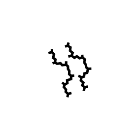 CC(C)CCCC(C)CCCC(C)CCCCC(C)CCCC(C)CCCC(C)C.CC(C)CCCC(C)CCCC(C)CCCCC(C)CCCC(C)CCCC(C)C